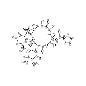 CC[C@H]1OC(=O)[C@H](C)[C@@H](O[C@H]2C[C@@](C)(OC)[C@@H](OC(C)=O)[C@H](C)O2)[C@H](C)[C@@H](O[C@@H]2O[C@H](C)C[C@H](N(C)C)[C@H]2CC(C)=O)[C@](C)(OC)C[C@@H](C)C(=O)/C(C)=C/[C@]1(C)OC(=O)n1ccnc1